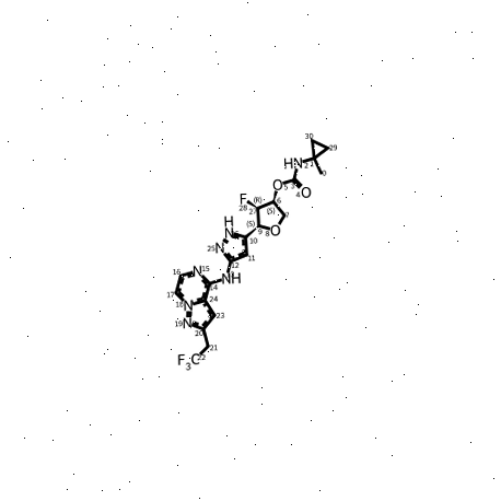 CC1(NC(=O)O[C@H]2CO[C@@H](c3cc(Nc4nccn5nc(CC(F)(F)F)cc45)n[nH]3)[C@H]2F)CC1